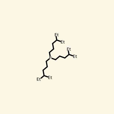 CCC(CC)CCCP(CCCC(CC)CC)CCCC(CC)CC